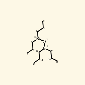 CC[CH2][Bi]([CH2]CC)[O][Bi]([CH2]CC)[CH2]CC